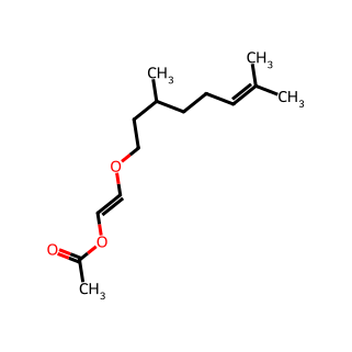 CC(=O)OC=COCCC(C)CCC=C(C)C